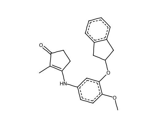 COc1ccc(NC2=C(C)C(=O)CC2)cc1OC1Cc2ccccc2C1